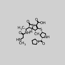 CNCC(=O)N[C@H](C)[C@H]1C(=O)N2C(C(=O)O)=C(S[C@@H]3CN[C@H](C(=O)N4CCCC4)C3)[C@H](C)[C@H]12